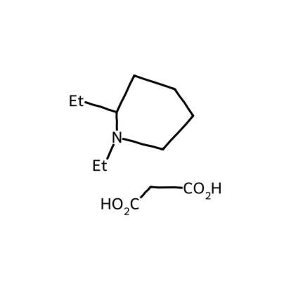 CCC1CCCCN1CC.O=C(O)CC(=O)O